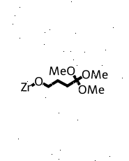 COC(CCC[O][Zr])(OC)OC